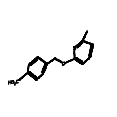 Cc1cccc(OCc2ccc(C(=O)O)cc2)n1